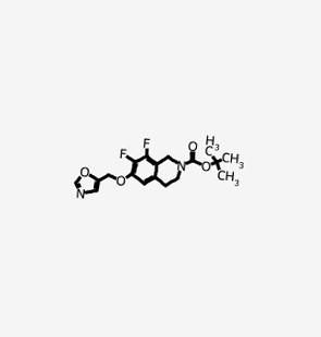 CC(C)(C)OC(=O)N1CCc2cc(OCc3cnco3)c(F)c(F)c2C1